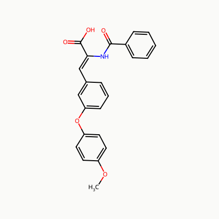 COc1ccc(Oc2cccc(C=C(NC(=O)c3ccccc3)C(=O)O)c2)cc1